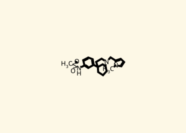 Cn1cccc1CN1CCC2(c3cccc(NS(C)(=O)=O)c3)CCCC1C2